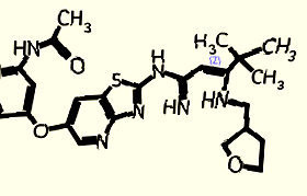 CC(=O)Nc1cc(Oc2cnc3nc(NC(=N)/C=C(\NCC4CCOC4)C(C)(C)C)sc3c2)ccn1